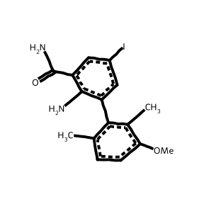 COc1ccc(C)c(-c2cc(I)cc(C(N)=O)c2N)c1C